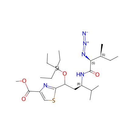 CC[C@H](C)[C@H](N=[N+]=[N-])C(=O)N[C@H](CC(O[Si](CC)(CC)CC)c1nc(C(=O)OC)cs1)C(C)C